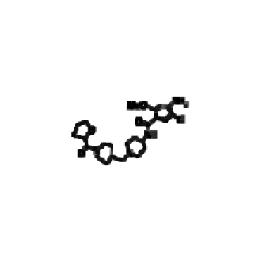 COc1cc(N)c(Cl)cc1C(=O)NC1CCN(CC2CCN(C(=O)C3CCCO3)CC2)CC1